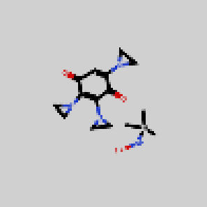 C[Si](C)(C)NO.O=C1C=C(N2CC2)C(=O)C(N2CC2)=C1N1CC1